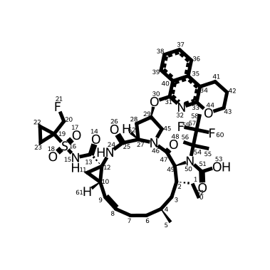 CC[C@@H]1C[C@@H](C)CC/C=C\[C@@H]2C[C@@]2(C(=O)NS(=O)(=O)C2(CF)CC2)NC(=O)[C@@H]2C[C@@H](Oc3nc4c(c5ccccc35)CCCO4)CN2C(=O)[C@H]1N(C(=O)O)C(C)(C)C(C)(F)F